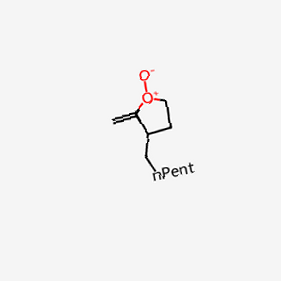 C=C1C(CCCCCC)CC[O+]1[O-]